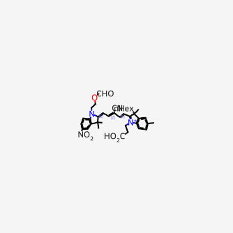 CCCCCCC1(C)C(/C=C/C(C#N)=C/C=C2/N(CCOC=O)c3ccc([N+](=O)[O-])cc3C2(C)C)=[N+](CCC(=O)O)c2ccc(C)cc21